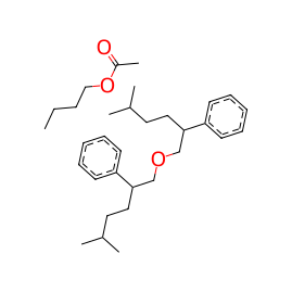 CC(C)CCC(COCC(CCC(C)C)c1ccccc1)c1ccccc1.CCCCOC(C)=O